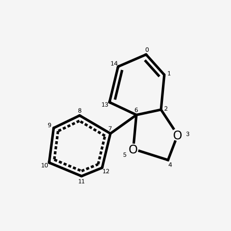 C1=CC2OCOC2(c2ccccc2)C=C1